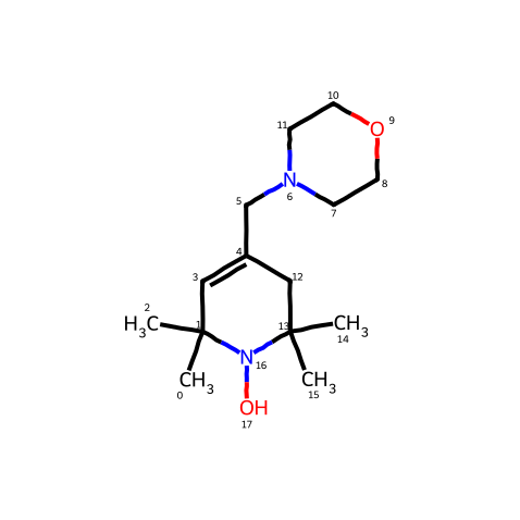 CC1(C)C=C(CN2CCOCC2)CC(C)(C)N1O